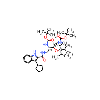 CC(C)[Si](OC(CNC(=O)OC(C)(C)C)[C@@H](CNC(=O)c1[nH]c2ccccc2c1C1CCCC1)NC(=O)OC(C)(C)C)(C(C)C)C(C)C